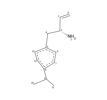 C=C[C@H](N)Cc1ccc(C(C)C)cc1